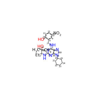 CCC(Nc1nc(NCc2cc([N+](=O)[O-])ccc2O)c2ncn(C3CCCCC3)c2n1)C(C)(C)O